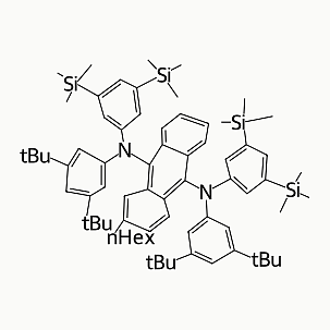 CCCCCCc1ccc2c(N(c3cc(C(C)(C)C)cc(C(C)(C)C)c3)c3cc([Si](C)(C)C)cc([Si](C)(C)C)c3)c3ccccc3c(N(c3cc(C(C)(C)C)cc(C(C)(C)C)c3)c3cc([Si](C)(C)C)cc([Si](C)(C)C)c3)c2c1